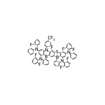 Fc1ccccc1N(c1ccccc1)c1cc2c3c(c1)N(c1c(F)cccc1F)c1ccccc1B3c1cc3c(c(F)c1N2c1ccc(C(F)(F)F)cc1)Sc1cc(N(c2ccccc2)c2c(F)cccc2F)cc2c1B3c1ccccc1N2c1c(F)cccc1F